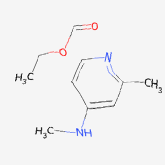 CCOC=O.CNc1ccnc(C)c1